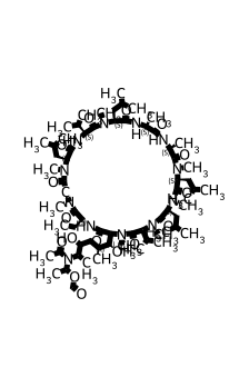 CC[C@@H]1NC(=O)C([C@H](O)[C@H](C)CC(O)C(C)N(C(C)=O)C(C)OC=O)N(C)C(=O)C(C(C)C)N(C)C(=O)[C@H](CC(C)C)N(C)C(=O)[C@H](CC(C)C)N(C)C(=O)[C@H](C)NC(=O)[C@H](C)NC(=O)[C@H](CC(C)C)N(C)C(=O)[C@H](C(C)C)NC(=O)[C@H](CC(C)C)N(C)C(=O)CN(C)C1=O